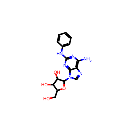 Nc1nc(Nc2ccccc2)nc2c1ncn2C1OC(CO)C(O)C1O